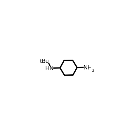 CC(C)(C)NC1CCC(N)CC1